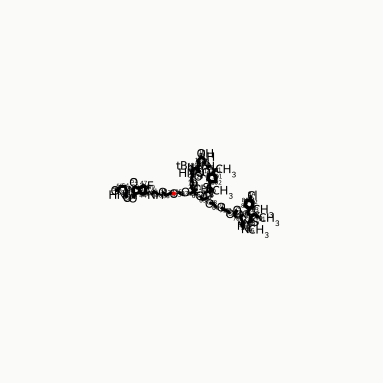 Cc1ncsc1-c1ccc([C@H](C)NC(=O)[C@@H]2C[C@H](O)CN2C(=O)[C@@H](NC(=O)COCC(C)(COCCOCCOCCNc2cc3c(cc2F)C(=O)N(C2CCC(=O)NC2=O)C3=O)COCCOCCOCCOC(=O)C[C@@H]2N=C(c3ccc(Cl)cc3)c3c(sc(C)c3C)-n3c(C)nnc32)C(C)(C)C)cc1